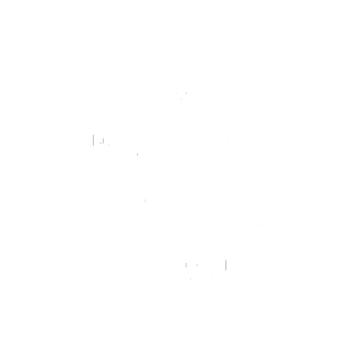 CCc1c(C(=O)O)cc(C(C)(C)C)c(O)c1C